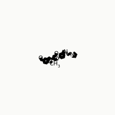 Cn1c(-c2ccn(-c3ccc4c(cnn4CCN4CCCC4)c3)c(=O)c2)cc2cc(C=O)ccc21